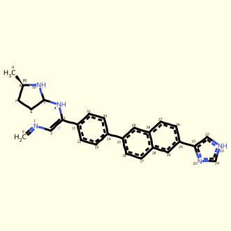 C=N/C=C(\NC1CC[C@@H](C)N1)c1ccc(-c2ccc3cc(-c4c[nH]cn4)ccc3c2)cc1